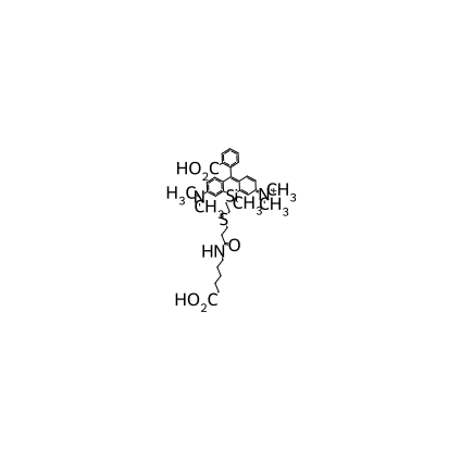 CN(C)c1ccc2c(c1)[Si](C)(CCSCCC(=O)NCCCCCC(=O)O)C1=CC(=[N+](C)C)C=CC1=C2c1ccccc1C(=O)O